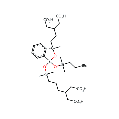 CCC(C)CC[Si](C)(C)O[Si](O[Si](C)(C)CCCC(CC(=O)O)CC(=O)O)(O[Si](C)(C)CCC(CC(=O)O)CC(=O)O)c1ccccc1